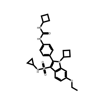 CCOc1ccc2c(S(=O)(=O)NC3CC3)c(-c3ccc(NC(=O)NC4CCC4)cc3)n(C3CCC3)c2c1